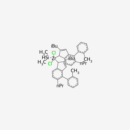 CCCc1ccc2c(c1-c1ccccc1C)C=C(C(C)CC)[CH]2[Zr]([Cl])([Cl])([CH]1C(C(C)CC)=Cc2c1ccc(CCC)c2-c1ccccc1C)[SiH](C)C